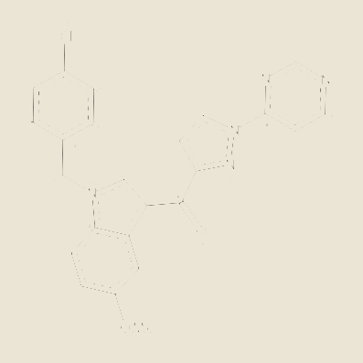 COc1ccc2c(c1)c(C(=O)c1ccn(-c3ccncn3)n1)cn2Cc1ccc(Cl)cc1